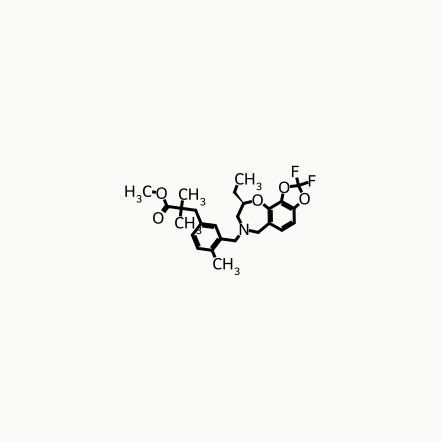 CC[C@@H]1CN(Cc2cc(CC(C)(C)C(=O)OC)ccc2C)Cc2ccc3c(c2O1)OC(F)(F)O3